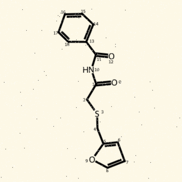 O=C(CSCc1ccco1)NC(=O)c1ccccc1